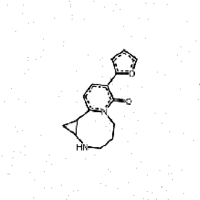 O=c1c(-c2ccco2)ccc2n1CCCNC1CC21